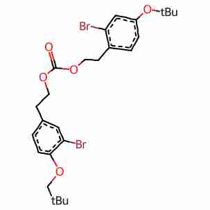 CC(C)(C)COc1ccc(CCOC(=O)OCCc2ccc(OC(C)(C)C)cc2Br)cc1Br